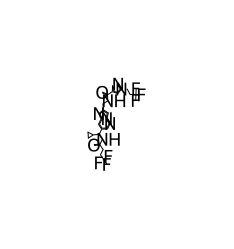 O=C(CCC(F)(F)F)NC(c1cnn2cc(CNC(=O)c3cnn(CCC(F)(F)F)c3)nc2c1)C1CC1